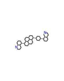 c1cc(-c2ccc(-c3ccc4ccc5c(-c6cccc7ncccc67)ccc6ccc3c4c65)cc2)c2cnccc2c1